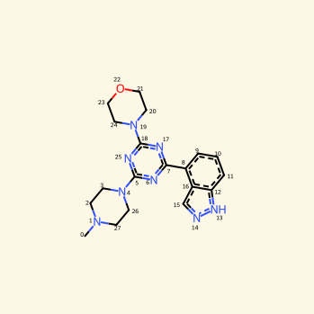 CN1CCN(c2nc(-c3cccc4[nH]ncc34)nc(N3CCOCC3)n2)CC1